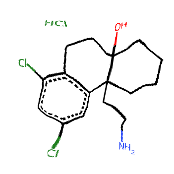 Cl.NCCC12CCCCC1(O)CCc1c(Cl)cc(Cl)cc12